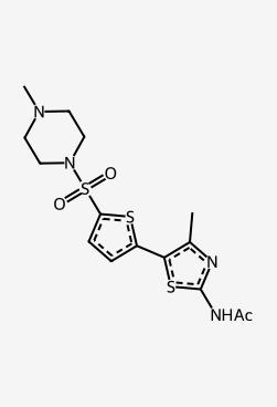 CC(=O)Nc1nc(C)c(-c2ccc(S(=O)(=O)N3CCN(C)CC3)s2)s1